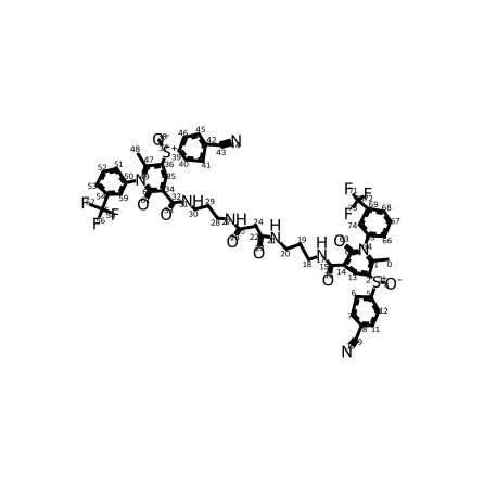 Cc1c([S+]([O-])c2ccc(C#N)cc2)cc(C(=O)NCCCNC(=O)CC(=O)NCCCNC(=O)c2cc([S+]([O-])c3ccc(C#N)cc3)c(C)n(-c3cccc(C(F)(F)F)c3)c2=O)c(=O)n1-c1cccc(C(F)(F)F)c1